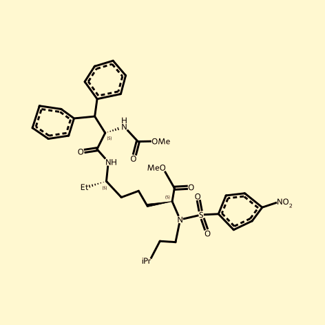 CC[C@@H](CCC[C@@H](C(=O)OC)N(CCC(C)C)S(=O)(=O)c1ccc([N+](=O)[O-])cc1)NC(=O)[C@@H](NC(=O)OC)C(c1ccccc1)c1ccccc1